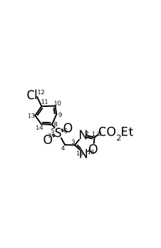 CCOC(=O)c1nc(CS(=O)(=O)c2ccc(Cl)cc2)no1